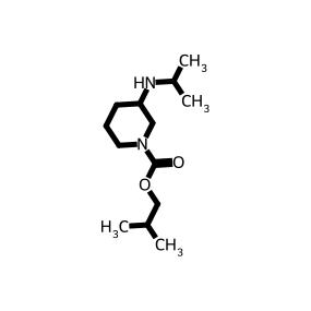 CC(C)COC(=O)N1CCCC(NC(C)C)C1